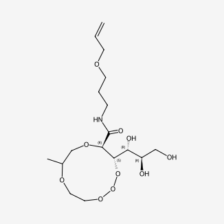 C=CCOCCCNC(=O)[C@@H]1OCC(C)OCCOOO[C@H]1[C@H](O)[C@H](O)CO